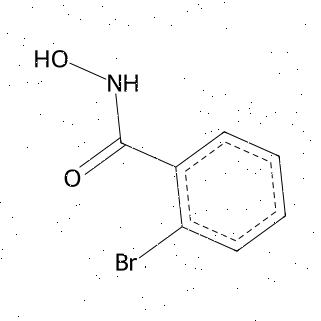 O=C(NO)c1ccccc1Br